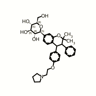 CC1(C)Oc2cc([C@@H]3O[C@H](CO)[C@@H](O)[C@H](O)[C@H]3O)ccc2C(c2ccc(OCCN3CCCC3)cc2)C1c1ccccc1